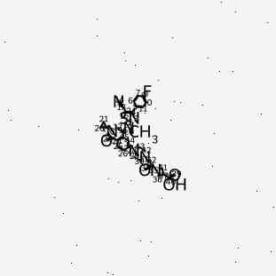 CN(c1nc(-c2ccc(F)cc2)c(C#N)s1)c1cn(C2CC2)c(=O)c2ccc(N3CCN(CC(=O)N4CC(C(=O)O)C4)CC3)cc12